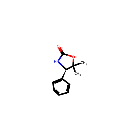 CC1(C)OC(=O)N[C@@H]1c1ccccc1